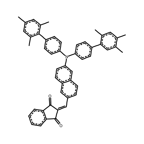 Cc1cc(C)c(-c2ccc(N(c3ccc(-c4cc(C)c(C)cc4C)cc3)c3ccc4cc(C=C5C(=O)c6ccccc6C5=O)ccc4c3)cc2)c(C)c1